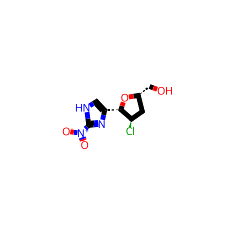 O=[N+]([O-])c1nc([C@@H]2O[C@H](CO)C[C@@H]2Cl)c[nH]1